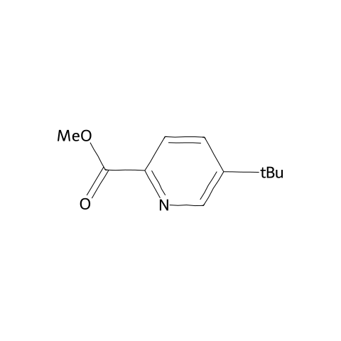 COC(=O)c1ccc(C(C)(C)C)cn1